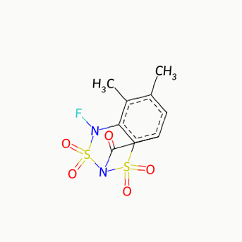 Cc1cc2c3c(c1C)N(F)S(=O)(=O)N(C2=O)S3(=O)=O